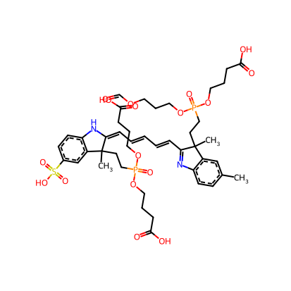 Cc1ccc2c(c1)C(C)(CCP(=O)(OCCCOC=O)OCCCC(=O)O)C(C=CC=CC=C1Nc3ccc(S(=O)(=O)O)cc3C1(C)CCP(=O)(OCCCC(=O)O)OCCCC(=O)O)=N2